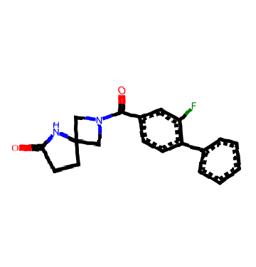 O=C1CCC2(CN(C(=O)c3ccc(-c4ccccc4)c(F)c3)C2)N1